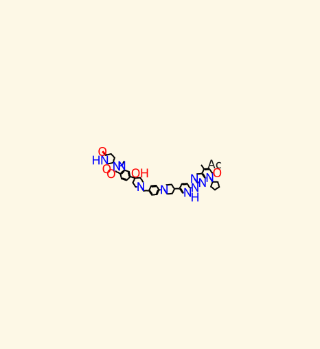 CC(=O)c1c(C)c2cnc(Nc3ccc(C4CCN(c5ccc(CN6CCC(O)(c7ccc8c(=O)n(C9CCC(=O)NC9=O)n(C)c8c7)CC6)cc5)CC4)cn3)nc2n(C2CCCC2)c1=O